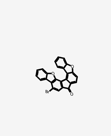 O=C1c2cc(Br)c3c(oc4ccccc43)c2-c2c1ccc1oc3ccccc3c21